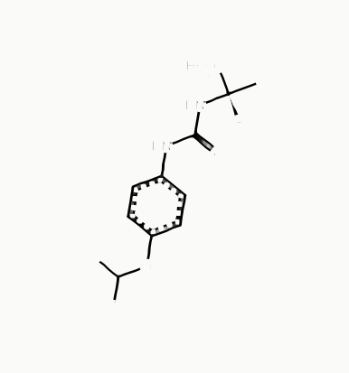 CC[C@@](C)(NC(=O)Nc1ccc(OC(F)F)cc1)C(=O)O